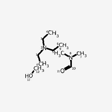 CCN(CC)CC.CN(C)C=O.CO